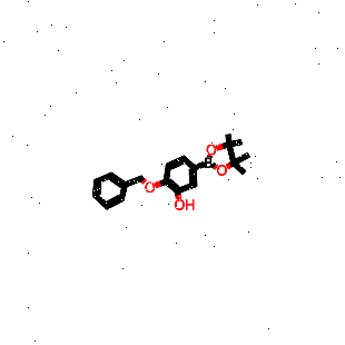 CC1(C)OB(c2ccc(OCc3ccccc3)c(O)c2)OC1(C)C